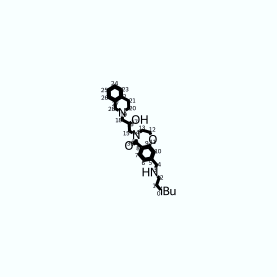 CCC(C)CCNCc1ccc2c(c1)OCCN(CC(O)CN1CCc3ccccc3C1)C2=O